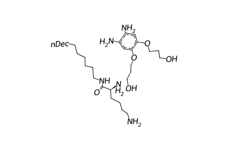 CCCCCCCCCCCCCCCCNC(=O)[C@@H](N)CCCCN.Nc1cc(OCCCO)c(OCCCO)cc1N